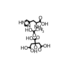 CC(=O)O.NC(Cc1c[nH]cn1)C(=O)O.O=C(O)CC(O)(CC(=O)O)C(=O)O